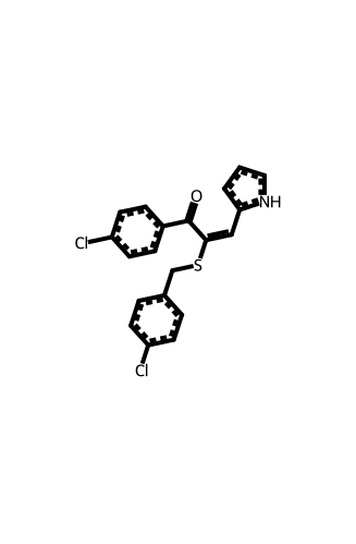 O=C(/C(=C\c1ccc[nH]1)SCc1ccc(Cl)cc1)c1ccc(Cl)cc1